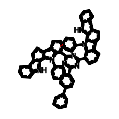 c1ccc(-c2ccc(-c3nc(-c4cccc5c6ccc7c8ccccc8[nH]c7c6n(-c6ccccc6)c45)nc(-c4cccc5c6ccc7c8ccccc8[nH]c7c6n(-c6ccccc6)c45)n3)cc2)cc1